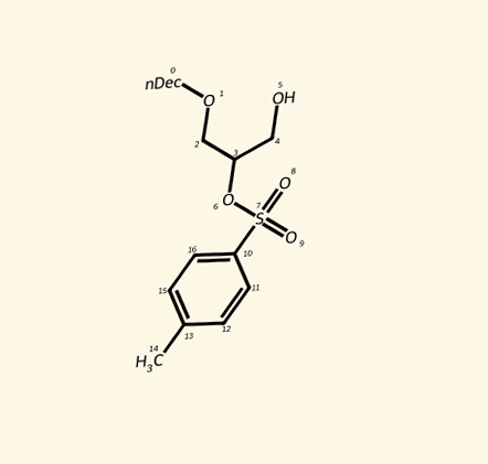 CCCCCCCCCCOCC(CO)OS(=O)(=O)c1ccc(C)cc1